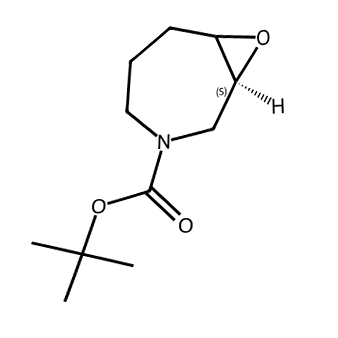 CC(C)(C)OC(=O)N1CCCC2O[C@H]2C1